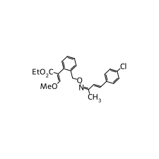 CCOC(=O)C(=COC)c1ccccc1CON=C(C)C=Cc1ccc(Cl)cc1